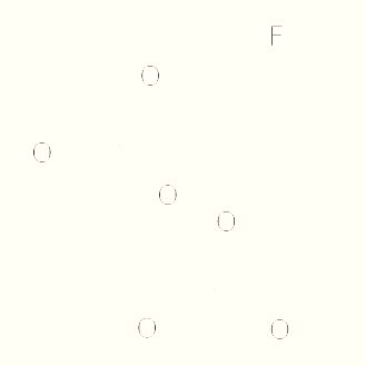 O=C1OCC(F)O1.O=c1occo1